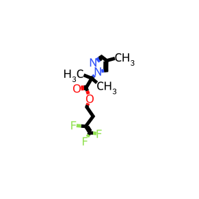 Cc1cnn(C(C)(C)C(=O)OCCC(F)=C(F)F)c1